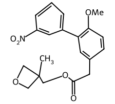 COc1ccc(CC(=O)OCC2(C)COC2)cc1-c1cccc([N+](=O)[O-])c1